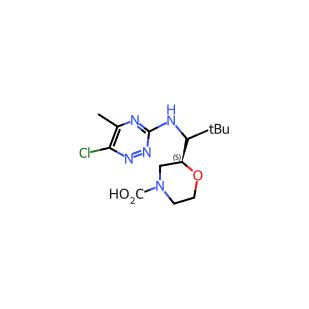 Cc1nc(NC([C@@H]2CN(C(=O)O)CCO2)C(C)(C)C)nnc1Cl